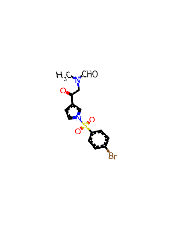 CN(C=O)CC(=O)c1ccn(S(=O)(=O)c2ccc(Br)cc2)c1